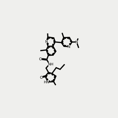 CCCc1cc(C)[nH]c(=O)c1CNC(=O)c1ccc2c(-c3cnc(N(C)C)cc3C)cc(C)nc2c1C